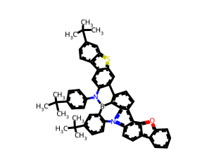 CC(C)(C)c1ccc(N2B3c4cc(C(C)(C)C)ccc4-n4c5ccc6c7ccccc7oc6c5c5ccc(c3c54)-c3cc4sc5cc(C(C)(C)C)ccc5c4cc32)cc1